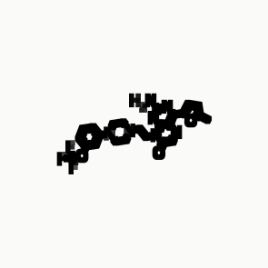 Cc1ccc(-c2nc(N)nc3c2ncc(=O)n3CCN2CCN(c3cccc(OC(F)(F)F)c3)CC2)o1